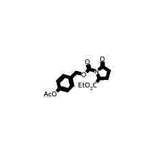 CCOC(=O)C1CCC(=O)N1C(=O)OCc1ccc(OC(C)=O)cc1